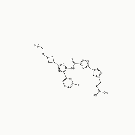 CCOC1CC(n2cc(NC(=O)c3csc(-c4cnn(COP(O)O)c4)n3)c(-c3cccc(F)n3)n2)C1